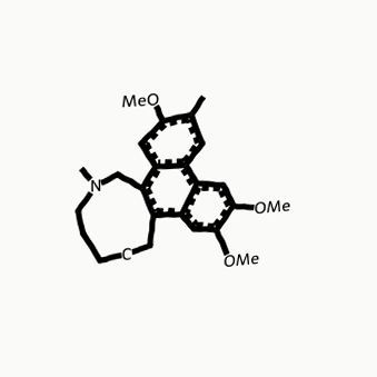 COc1cc2c3c(c4cc(OC)c(OC)cc4c2cc1C)CCCCCN(C)C3